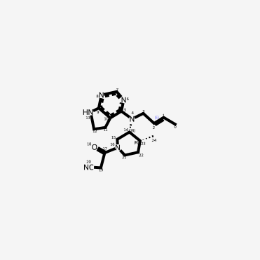 C/C=C/CN(c1ncnc2c1CCN2)[C@H]1CN(C(=O)CC#N)CC[C@H]1C